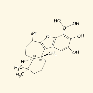 CC(C)C1CC[C@@H]2C(C)(C)CCC[C@@]2(C)c2c1oc1c(B(O)O)c(O)c(O)cc21